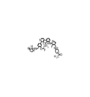 CC(=O)N1CCC(NCc2ccnc(Nc3cccc(-c4ccnc(-c5ccc(CNC[C@@H]6CCC(=O)N6)c(OC(F)F)c5)c4Cl)c3C)c2F)CC1